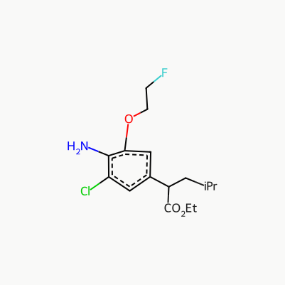 CCOC(=O)C(CC(C)C)c1cc(Cl)c(N)c(OCCF)c1